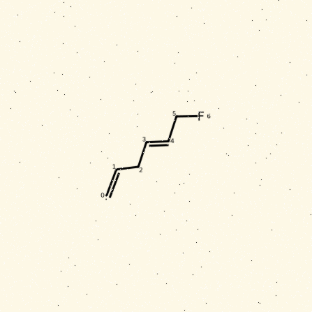 [CH]=CCC=CCF